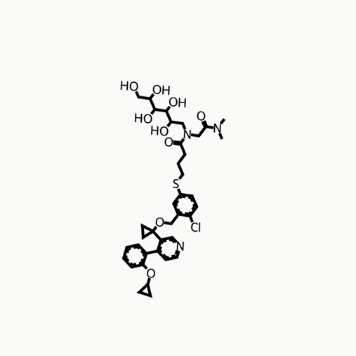 CN(C)C(=O)CN(CC(O)C(O)C(O)C(O)CO)C(=O)CCCSc1ccc(Cl)c(COC2(c3cnccc3-c3ccccc3OC3CC3)CC2)c1